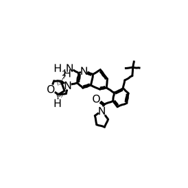 CC(C)(C)CCc1cccc(C(=O)N2CCCC2)c1-c1ccc2nc(N)c(N3C[C@@H]4C[C@H]3CO4)cc2c1